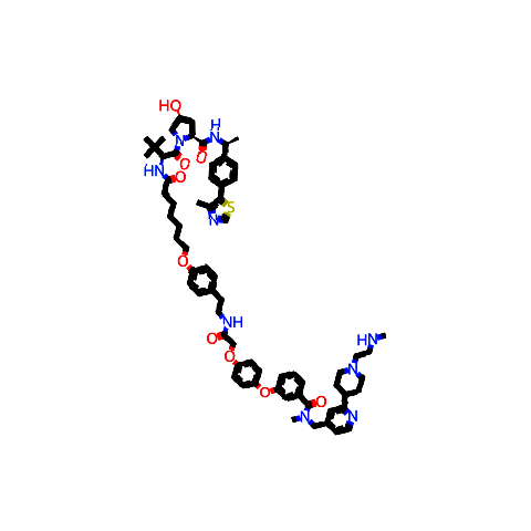 CNCCN1CCC(c2cc(CN(C)C(=O)c3cccc(Oc4ccc(OCC(=O)NCCc5ccc(OCCCCCCC(=O)N[C@H](C(=O)N6C[C@H](O)C[C@H]6C(=O)N[C@@H](C)c6ccc(-c7scnc7C)cc6)C(C)(C)C)cc5)cc4)c3)ccn2)CC1